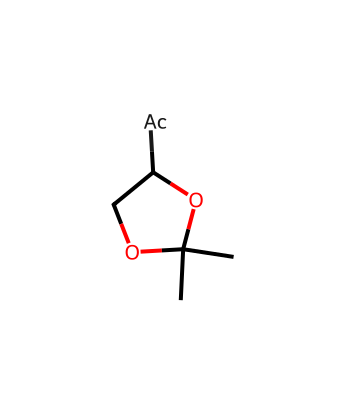 CC(=O)C1COC(C)(C)O1